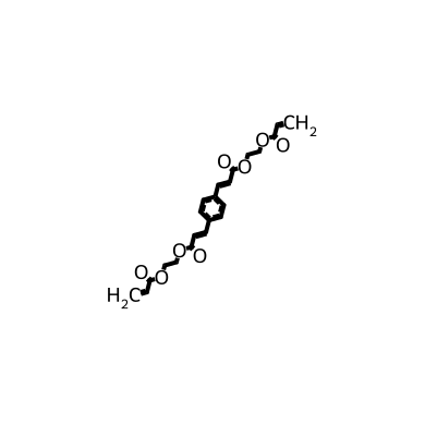 C=CC(=O)OCCOC(=O)/C=C/c1ccc(/C=C/C(=O)OCCOC(=O)C=C)cc1